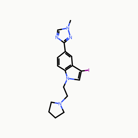 Cn1cnc(-c2ccc3c(c2)c(I)cn3CCN2CCCC2)n1